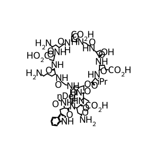 CCCCCCCCCCC(=O)NC(Cc1c[nH]c2ccccc12)C(=O)NC(CC(N)=O)C(=O)NC(CC(=O)O)C(=O)NC1C(=O)NCC(=O)NC(CCCN)C(=O)NC(CC(=O)O)C(=O)NC(CC(N)=O)C(=O)NC(CC(=O)O)C(=O)NCC(=O)NC(CO)C(=O)NC(CCC(=O)O)C(=O)NC(C(C)C)C(=O)OC1C